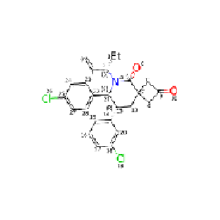 C=C[C@H](CC)N1C(=O)C2(CC(=O)C2)C[C@H](c2cccc(Cl)c2)[C@H]1c1ccc(Cl)cc1